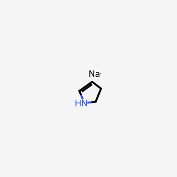 C1=CNCC1.[Na]